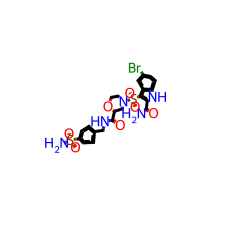 NC(=O)c1[nH]c2ccc(Br)cc2c1S(=O)(=O)N1CCOC(C(=O)NCc2ccc(S(N)(=O)=O)cc2)C1